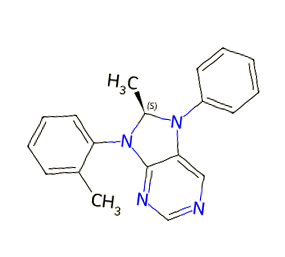 Cc1ccccc1N1c2ncncc2N(c2ccccc2)[C@@H]1C